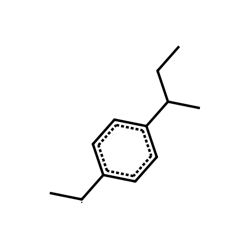 C[CH]c1ccc(C(C)CC)cc1